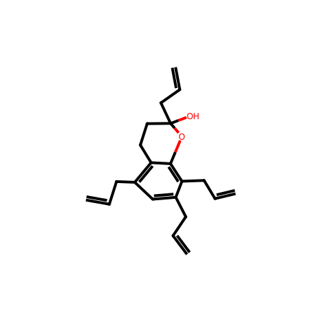 C=CCc1cc(CC=C)c2c(c1CC=C)OC(O)(CC=C)CC2